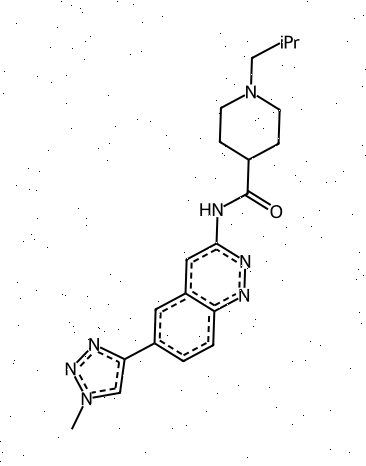 CC(C)CN1CCC(C(=O)Nc2cc3cc(-c4cn(C)nn4)ccc3nn2)CC1